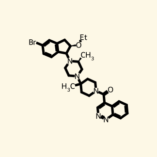 CCO[C@@H]1Cc2cc(Br)ccc2C1N1CCN(C2(C)CCN(C(=O)c3cnnc4ccccc34)CC2)C[C@@H]1C